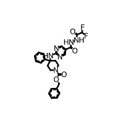 O=C(NNC(=O)C(F)F)c1cnc(NC2(c3ccccc3)CCN(C(=O)OCc3ccccc3)CC2)nc1